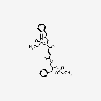 CCS(=O)(=O)N[C@H](COC(=O)/C=C/C(=O)OC[C@H](Cc1ccccc1)NS(=O)(=O)CC)Cc1ccccc1